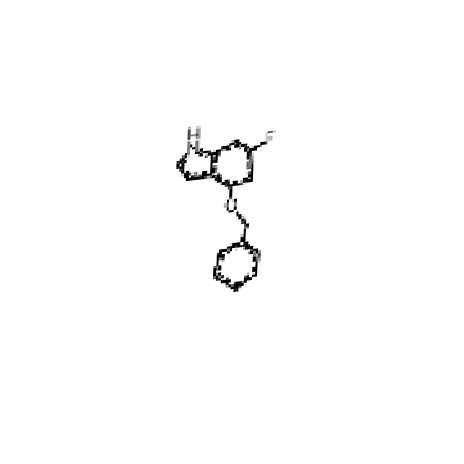 Fc1cc(OCc2ccccc2)c2cc[nH]c2c1